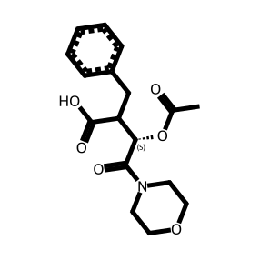 CC(=O)O[C@H](C(=O)N1CCOCC1)C(Cc1ccccc1)C(=O)O